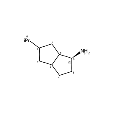 CC(C)C1CC2CC[C@H](N)C2C1